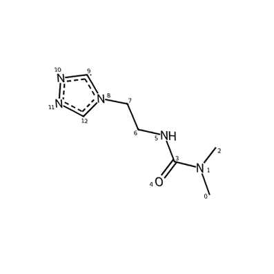 CN(C)C(=O)NCCn1[c]nnc1